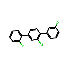 Clc1cccc(-c2ccc(-c3cc[c]cc3Cl)cc2Cl)c1